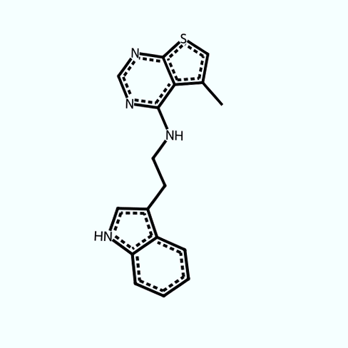 Cc1csc2ncnc(NCCc3c[nH]c4ccccc34)c12